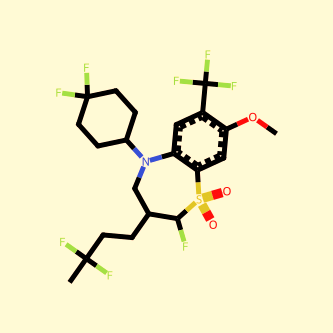 COc1cc2c(cc1C(F)(F)F)N(C1CCC(F)(F)CC1)CC(CCC(C)(F)F)C(F)S2(=O)=O